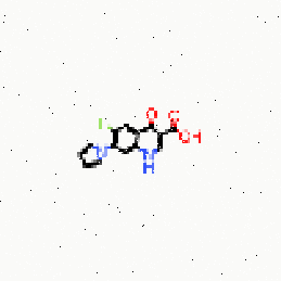 O=C(O)c1c[nH]c2cc(-n3cccc3)c(F)cc2c1=O